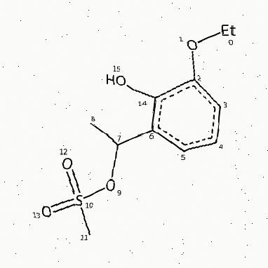 CCOc1cccc(C(C)OS(C)(=O)=O)c1O